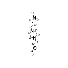 CCOCCN1CCN(CCCN(C)C)CC1